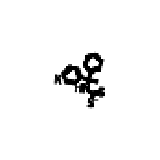 CC(NC(=S)[S-])(c1ccccc1)c1ccccc1.[K+]